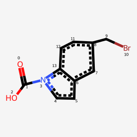 O=C(O)n1ccc2cc(CBr)ccc21